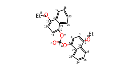 CCOc1ccc(OC(=O)Oc2ccc(OCC)c3ccccc23)c2ccccc12